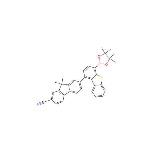 CC1(C)c2cc(C#N)ccc2-c2ccc(-c3ccc(B4OC(C)(C)C(C)(C)O4)c4sc5ccccc5c34)cc21